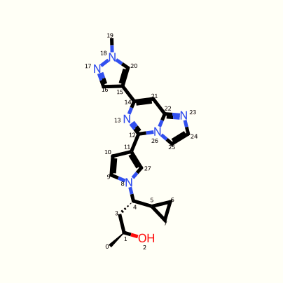 C[C@H](O)C[C@@H](C1CC1)n1ccc(-c2nc(-c3cnn(C)c3)cc3nccn23)c1